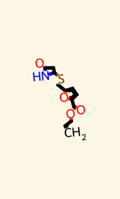 C=CCOC(=O)c1ccc(CSC2CC(=O)N2)o1